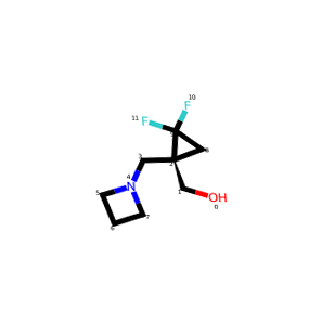 OC[C@]1(CN2CCC2)CC1(F)F